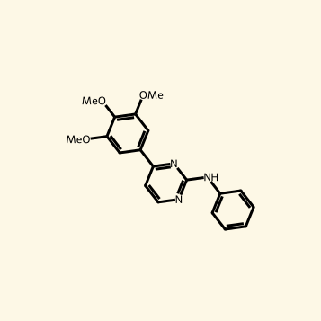 COc1cc(-c2ccnc(Nc3ccccc3)n2)cc(OC)c1OC